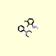 CCN(CC)c1ccccc1.Cc1cccc(N)c1C